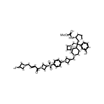 COC(=O)N[C@H]1CCC[C@@H]1[C@](CN1CCC1)(c1cccc(F)c1)C1CCN(CC2CN(c3ccc(S(=O)(=O)C4CN(C(=O)/C=C/CN5CC(F)C5)C4)cc3)C2)CC1